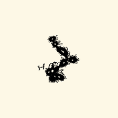 CC1(C)c2ccccc2C2(c3ccccc3-c3ccccc32)c2ccc(-c3ccc(N(c4ccccc4)c4ccc(-c5ccc(-c6ccccc6)cc5)cc4)cc3)cc21